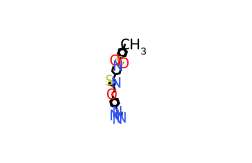 Cc1ccc(S(=O)(=O)N2CCC(c3nc(COc4ccc(-n5cnnn5)cc4)cs3)CC2)cc1